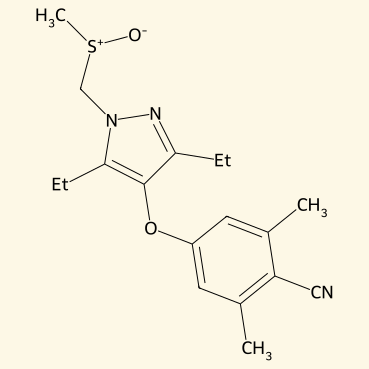 CCc1nn(C[S+](C)[O-])c(CC)c1Oc1cc(C)c(C#N)c(C)c1